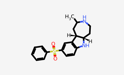 CC1C[C@H]2c3cc(S(=O)(=O)c4ccccc4)ccc3N[C@H]2CCN1